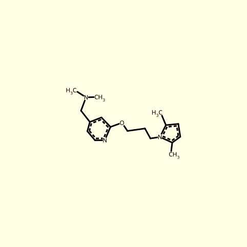 Cc1ccc(C)n1CCCOc1cc(CN(C)C)ccn1